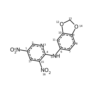 O=[N+]([O-])c1cnc(Nc2ccc3c(c2)OCO3)c([N+](=O)[O-])c1